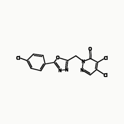 O=c1c(Cl)c(Cl)cnn1Cc1nnc(-c2ccc(Cl)cc2)o1